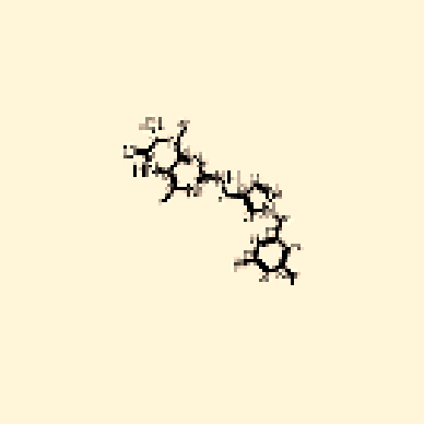 CC[C@H]1C(=O)Nc2c(C)nc(NCc3cnn(Cc4cc(F)cc(F)c4)c3)nc2N1C